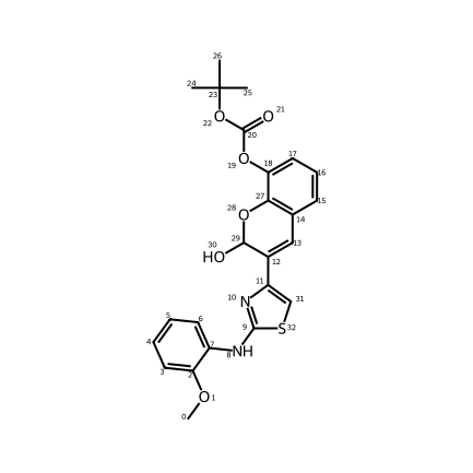 COc1ccccc1Nc1nc(C2=Cc3cccc(OC(=O)OC(C)(C)C)c3OC2O)cs1